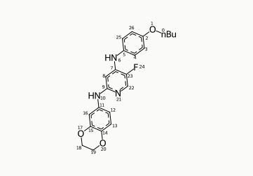 CCCCOc1ccc(Nc2cc(Nc3ccc4c(c3)OCCO4)ncc2F)cc1